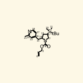 C=CCOC(=O)N1CC([Si](C)(C)C(C)(C)C)CC1Cc1ccnc(C)c1